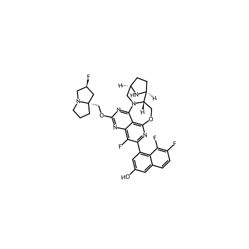 Oc1cc(-c2nc3c4c(nc(OC[C@]56CCCN5C[C@@H](F)C6)nc4c2F)N2C[C@H]4CC[C@H](N4)[C@@H]2CO3)c2c(F)c(F)ccc2c1